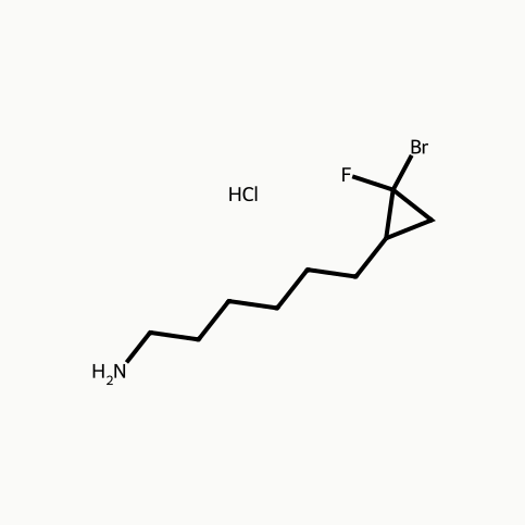 Cl.NCCCCCCC1CC1(F)Br